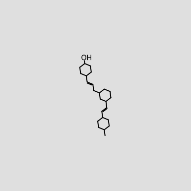 CC1CCC(/C=C/C2CCCC(C/C=C/C3CCC(O)CC3)C2)CC1